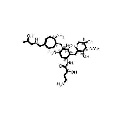 CN[C@@H]1[C@@H](O)C(C[C@@H]2[C@@H](O)[C@H](C[C@H]3CCC(CNCC(C)O)=CC[C@H]3N)[C@@H](N)C[C@H]2NC(=O)[C@H](O)CCN)OC[C@]1(C)O